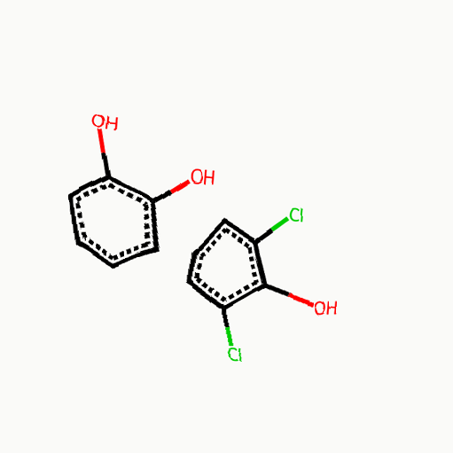 Oc1c(Cl)cccc1Cl.Oc1ccccc1O